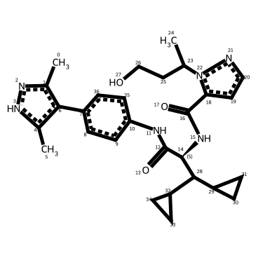 Cc1n[nH]c(C)c1-c1ccc(NC(=O)[C@@H](NC(=O)c2ccnn2C(C)CCO)C(C2CC2)C2CC2)cc1